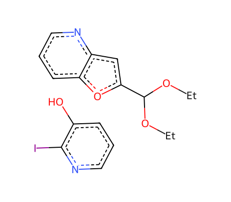 CCOC(OCC)c1cc2ncccc2o1.Oc1cccnc1I